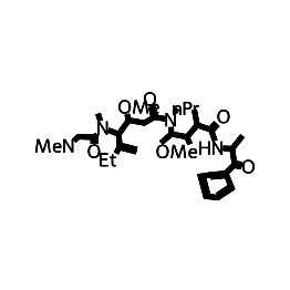 C=C(CC)C(C(CC(=O)N(CCC)C(C)C(OC)C(C)C(=O)NC(C)C(=O)c1ccccc1)OC)N(C)C(=O)CNC